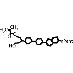 C=C(C)C(=O)OCCC(CCO)C1CCC(C2CC=C(c3ccc4cc(CCCCC)ccc4c3)CC2)CC1